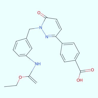 C=C(Nc1cccc(Cn2nc(-c3ccc(C(=O)O)cc3)ccc2=O)c1)OCC